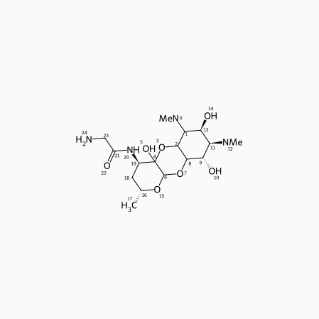 CNC1C2OC3(O)C(OC2[C@@H](O)[C@H](NC)[C@@H]1O)O[C@H](C)C[C@H]3NC(=O)CN